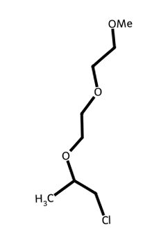 COCCOCCOC(C)CCl